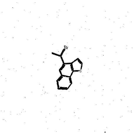 CC(Br)c1cc2ccccc2c2sccc12